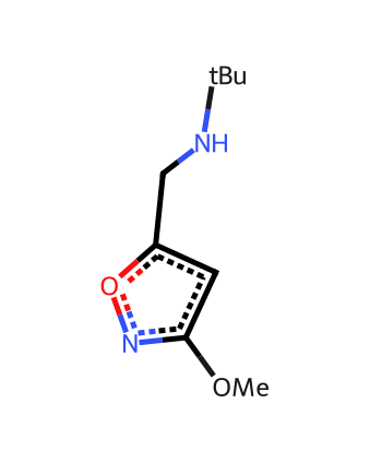 COc1cc(CNC(C)(C)C)on1